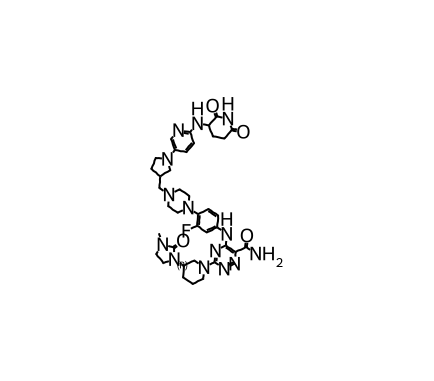 CN1CCN([C@@H]2CCCN(c3nnc(C(N)=O)c(Nc4ccc(N5CCN(CC6CCN(c7ccc(NC8CCC(=O)NC8=O)nc7)C6)CC5)c(F)c4)n3)C2)C1=O